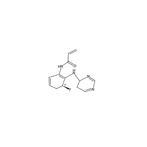 C=CC(=O)NC1=C(NC2CC=NC=N2)[C@@H](F)CC=C1